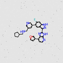 Fc1cc2[nH]nc(-c3nc4c(-c5ccoc5)ccnc4[nH]3)c2cc1-c1cncc(CNCC2CCCC2)c1